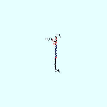 CCCCCCCCC/C=C/C=C/C=C/C=C/C=C/C=C/C(=O)OC(COCCC)COCCC